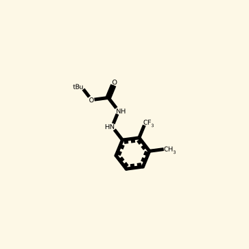 Cc1cccc(NNC(=O)OC(C)(C)C)c1C(F)(F)F